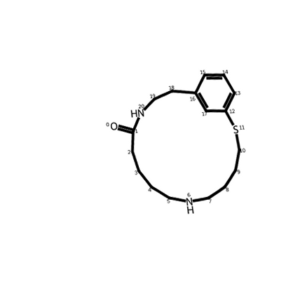 O=C1CCCCNCCCCSc2cccc(c2)CCN1